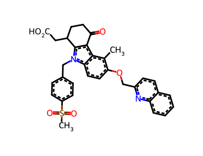 Cc1c(OCc2ccc3ccccc3n2)ccc2c1c1c(n2Cc2ccc(S(C)(=O)=O)cc2)C(CC(=O)O)CCC1=O